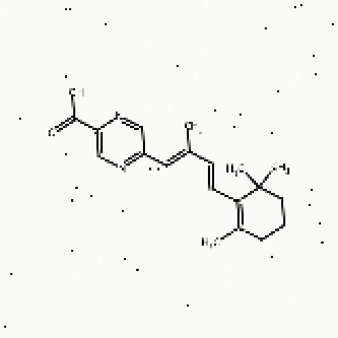 CC(C=CC1=C(C)CCCC1(C)C)=Cc1cnc(C(=O)O)cn1